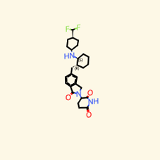 O=C1CCC(N2Cc3cc(C[C@H]4CCCC[C@@H]4N[C@H]4CC[C@H](C(F)F)CC4)ccc3C2=O)C(=O)N1